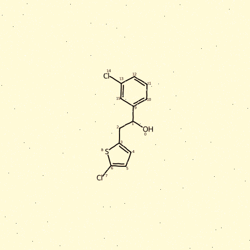 OC(Cc1ccc(Cl)s1)c1cccc(Cl)c1